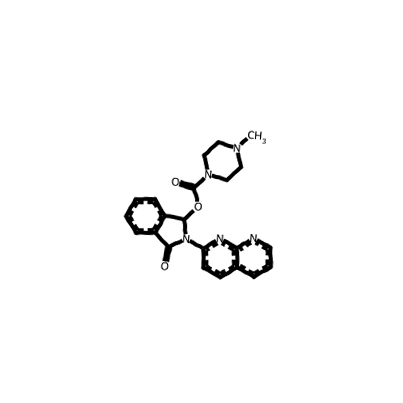 CN1CCN(C(=O)OC2c3ccccc3C(=O)N2c2ccc3cccnc3n2)CC1